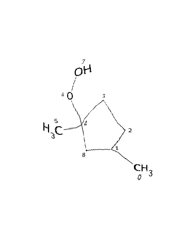 CC1CCC(C)(OO)C1